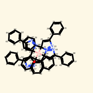 C1=C(c2ccccc2)N=NC1(c1ccccc1)[B-](C1(c2ccccc2)C=C(c2ccccc2)N=N1)(C1(c2ccccc2)C=C(c2ccccc2)N=N1)C1(c2ccccc2)C=C(c2ccccc2)N=N1